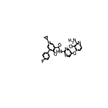 Nc1nccc(Oc2cnc(NC(=O)c3cn(C4CC4)cc(-c4ccc(F)cc4)c3=O)nc2)c1Cl